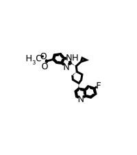 COC(=O)c1ccc2[nH]c([C@H](C3CC3)[C@H]3CC[C@@H](c4ccnc5ccc(F)cc54)CC3)nc2c1